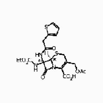 CCOC(=O)N[C@]1(NC(=O)Cc2cccs2)C(=O)N2C(C(=O)O)=C(COC(C)=O)CS[C@@H]21